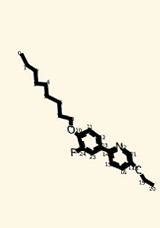 CCCCCCCCCOc1ccc(-c2ccc(CCC)cn2)cc1F